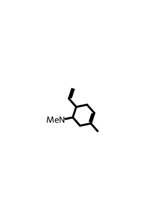 C=CC1CC=C(C)CC1NC